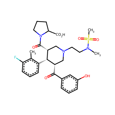 Cc1c(F)cccc1[C@H]1[C@@H](C(=O)c2cccc(O)c2)CN(CCN(C)S(C)(=O)=O)C[C@H]1C(=O)N1CCCC1C(=O)O